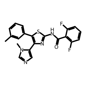 Cc1cccc(-c2sc(NC(=O)c3c(F)cccc3F)nc2-c2cncn2C)c1